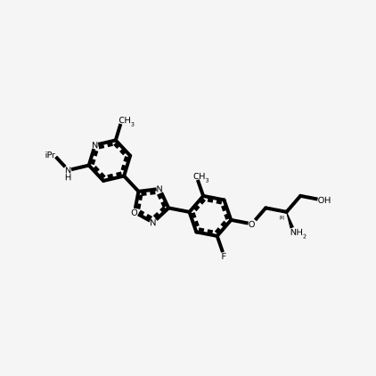 Cc1cc(-c2nc(-c3cc(F)c(OC[C@H](N)CO)cc3C)no2)cc(NC(C)C)n1